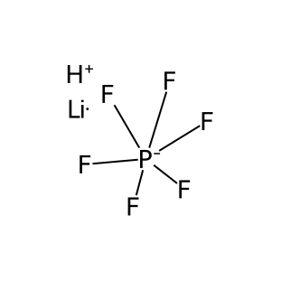 F[P-](F)(F)(F)(F)F.[H+].[Li]